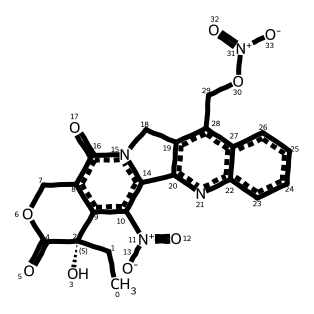 CC[C@@]1(O)C(=O)OCc2c1c([N+](=O)[O-])c1n(c2=O)Cc2c-1nc1ccccc1c2CO[N+](=O)[O-]